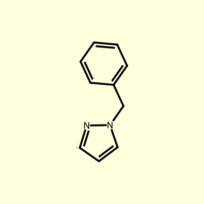 [c]1ccn(Cc2ccccc2)n1